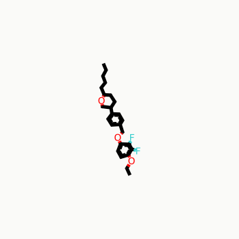 CCCCCC1CCC(c2ccc(COc3ccc(OCC)c(F)c3F)cc2)CO1